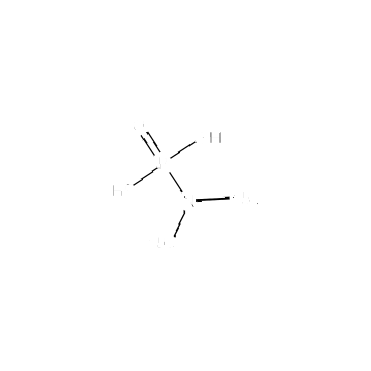 CCCCN(CCCC)P(=O)(S)S